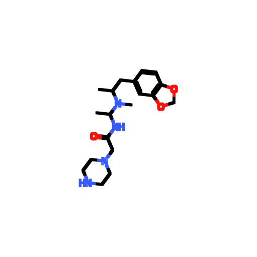 CC(Cc1ccc2c(c1)OCO2)N(C)C(C)NC(=O)CN1CCNCC1